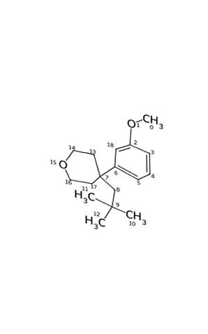 COc1cccc(C2(CC(C)(C)C)CCOCC2)c1